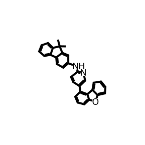 CC1(C)c2ccccc2-c2ccc(Nc3ccc(-c4cccc5oc6ccccc6c45)cn3)cc21